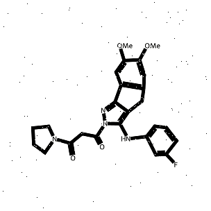 COc1cc2c(cc1OC)-c1nn(C(=O)CC(=O)N3CCCC3)c(Nc3cccc(F)c3)c1C2